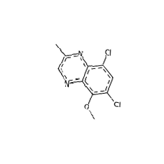 COc1c(Cl)cc(Cl)c2nc(C)cnc12